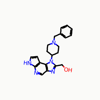 OCc1nc2cnc3[nH]ccc3c2n1C1CCN(Cc2ccccc2)CC1